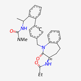 CCC(=O)N[C@@H]1CCc2ccccc2N(Cc2ccc(-c3ccccc3C(C)NC(=O)NC)cc2)C1=O